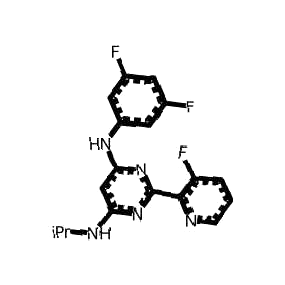 CC(C)Nc1cc(Nc2cc(F)cc(F)c2)nc(-c2ncccc2F)n1